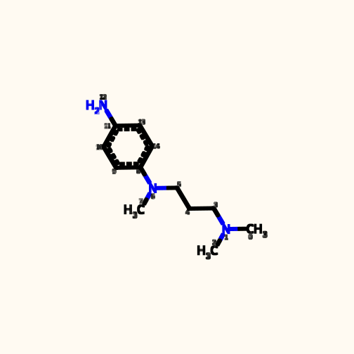 CN(C)CCCN(C)c1ccc(N)cc1